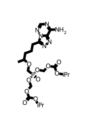 CC(C)OC(=O)OCOP(=O)(COC(C)CCCc1nnc2c(N)ncnn12)OCOC(=O)OC(C)C